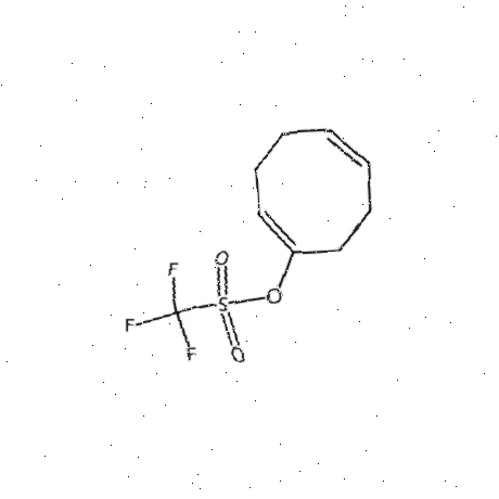 O=S(=O)(OC1=CCCC=CCC1)C(F)(F)F